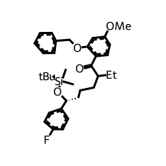 CCC(CCC[C@@H](O[Si](C)(C)C(C)(C)C)c1ccc(F)cc1)C(=O)c1ccc(OC)cc1OCc1ccccc1